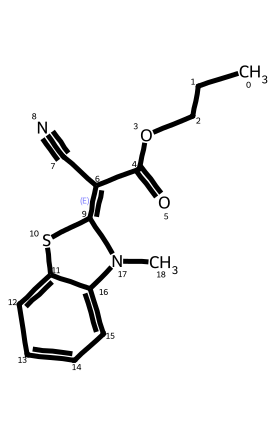 CCCOC(=O)/C(C#N)=C1/Sc2ccccc2N1C